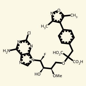 CO[C@H](COC(Cc1ccc(-c2c(C)noc2C)cc1)(C(=O)O)C(=O)O)[C@@H](O)[C@H](F)n1cnc2c(N)nc(Cl)nc21